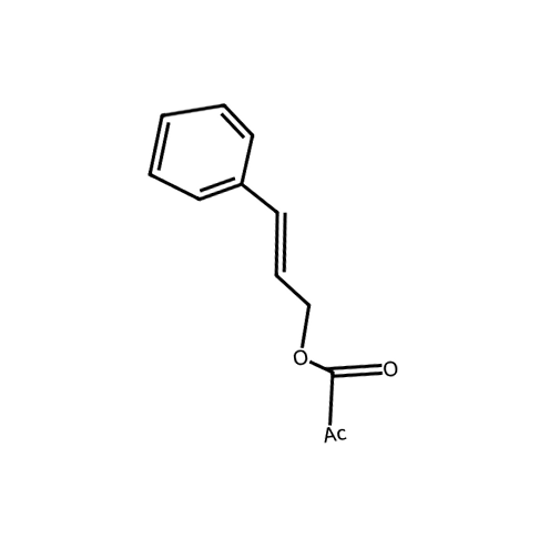 CC(=O)C(=O)OCC=Cc1ccccc1